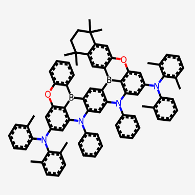 Cc1ccccc1N(c1cc2c3c(c1)N(c1ccccc1)c1cc4c(cc1B3c1ccccc1O2)B1c2cc3c(cc2Oc2cc(N(c5ccccc5C)c5c(C)cccc5C)cc(c21)N4c1ccccc1)C(C)(C)CCC3(C)C)c1c(C)cccc1C